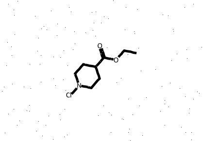 CCOC(=O)C1CCN(Cl)CC1